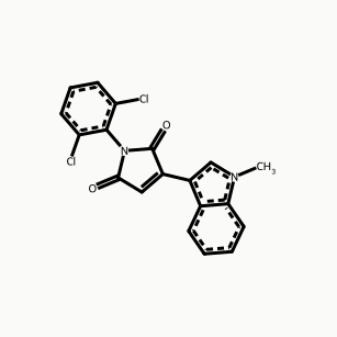 Cn1cc(C2=CC(=O)N(c3c(Cl)cccc3Cl)C2=O)c2ccccc21